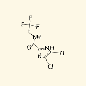 O=C(NCC(F)(F)F)c1nc(Cl)c(Cl)[nH]1